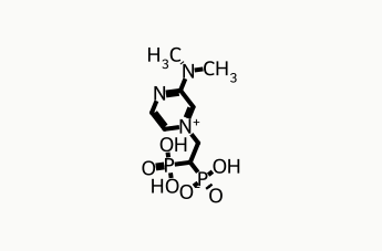 CN(C)c1c[n+](CC(P(=O)([O-])O)P(=O)(O)O)ccn1